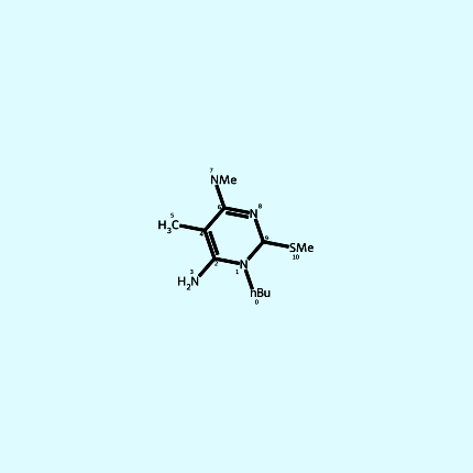 CCCCN1C(N)=C(C)C(NC)=NC1SC